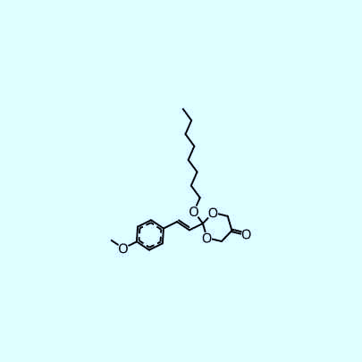 CCCCCCCCOC1(C=Cc2ccc(OC)cc2)OCC(=O)CO1